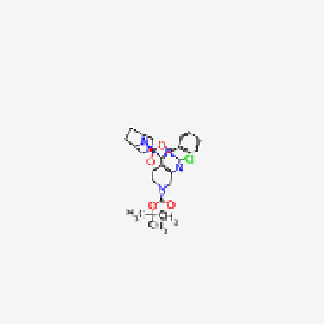 CC(C)(C)OC(=O)N1CCc2c(nc(Cl)nc2N2CC3CCC(C2)N3C(=O)OCc2ccccc2)C1